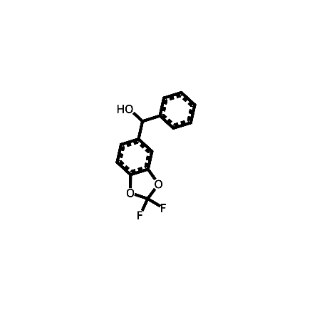 OC(c1ccccc1)c1ccc2c(c1)OC(F)(F)O2